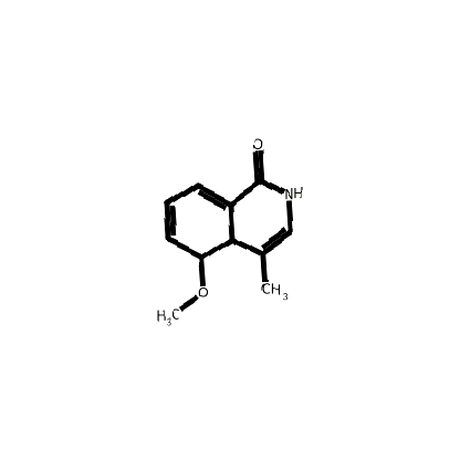 COC1C=CC=C2C(=O)NC=C(C)C21